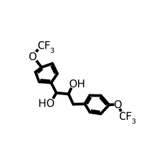 OC(Cc1ccc(OC(F)(F)F)cc1)C(O)c1ccc(OC(F)(F)F)cc1